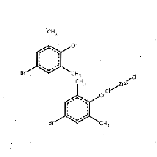 Cc1cc(Br)cc(C)c1[O-].Cc1cc(Br)cc(C)c1[O-].[Cl][Zr+2][Cl]